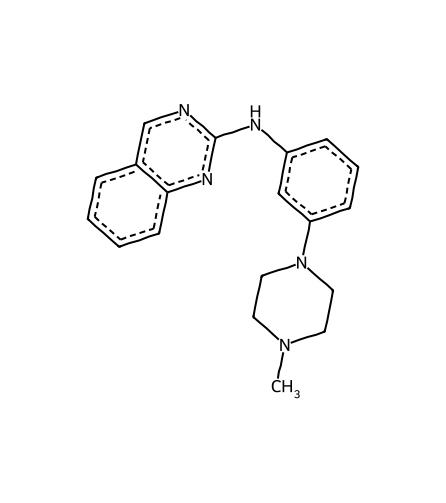 CN1CCN(c2cccc(Nc3ncc4ccccc4n3)c2)CC1